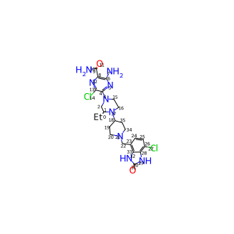 CC[C@H]1CN(c2nc(N)c(C(N)=O)nc2Cl)CCN1C1CCN(Cc2ccc(Cl)c3[nH]c(=O)[nH]c23)CC1